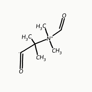 CC(C)([C]=O)[N+](C)(C)C=O